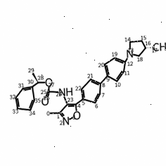 Cc1noc(-c2ccc(-c3ccc(N4CC[C@H](C=O)C4)cc3)cc2)c1NC(=O)O[C@H](C)c1ccccc1